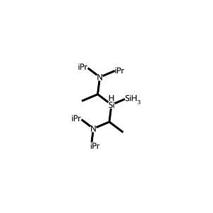 CC(C)N(C(C)C)C(C)[SiH]([SiH3])C(C)N(C(C)C)C(C)C